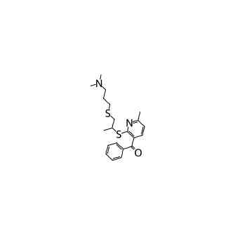 Cc1ccc(C(=O)c2ccccc2)c(SC(C)CSCCCN(C)C)n1